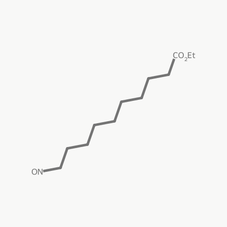 CCOC(=O)CCCCCCCCCN=O